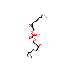 CCCCCC1OC1COC(=O)C(=O)OCC1OC1CCCCC